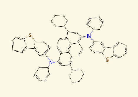 c1ccc(N(c2ccc3sc4ccccc4c3c2)c2cc(C3CCCCC3)c3ccc4c(N(c5ccccc5)c5ccc6sc7ccccc7c6c5)cc(C5CCCCC5)c5ccc2c3c54)cc1